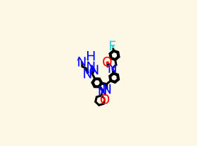 CN(C)Cc1nc(-c2ccc3c(c2)c(-c2cccc(N(C=O)Cc4ccc(F)cc4)c2)nn3C2CCCCO2)n[nH]1